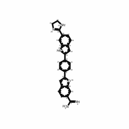 N=C(N)c1ccc2cc(-c3ccc(-c4cc5ccc(C6=NCCN6)cc5[nH]4)cc3)oc2c1